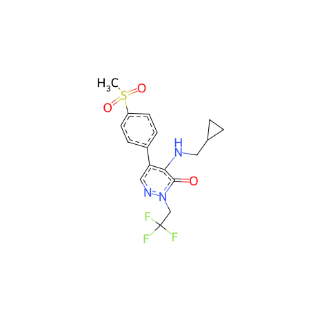 CS(=O)(=O)c1ccc(-c2cnn(CC(F)(F)F)c(=O)c2NCC2CC2)cc1